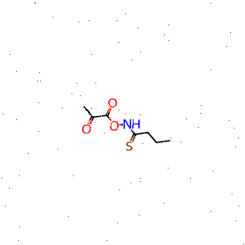 CCCC(=S)NOC(=O)C(C)=O